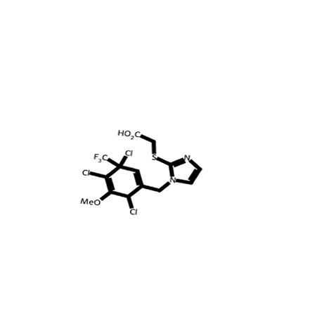 COC1=C(Cl)C(Cl)(C(F)(F)F)C=C(Cn2ccnc2SCC(=O)O)C1Cl